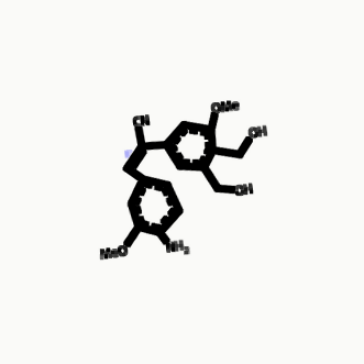 COc1cc(/C=C(/C#N)c2cc(CO)c(CO)c(OC)c2)ccc1N